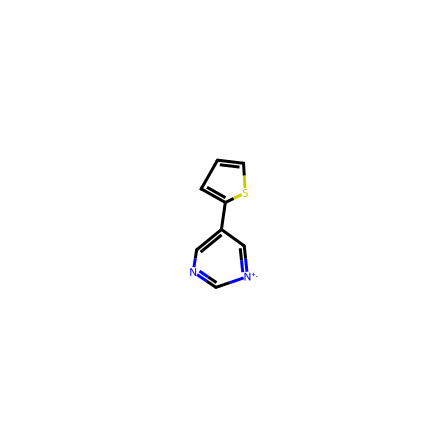 C1=NC=C(c2cccs2)C=[N+]1